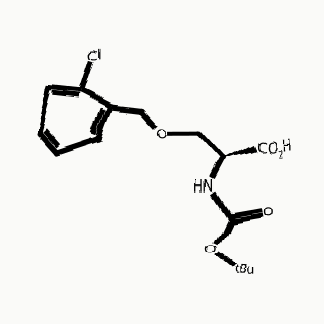 CC(C)(C)OC(=O)N[C@@H](COCc1ccccc1Cl)C(=O)O